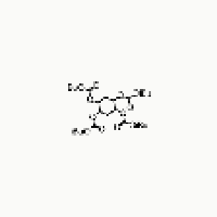 CC(C)COC(=O)OC1CC(OC(=O)OCC(C)C)C(OC(=O)OCC(C)C)CC1OC(=O)OCC(C)C